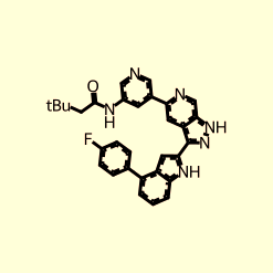 CC(C)(C)CC(=O)Nc1cncc(-c2cc3c(-c4cc5c(-c6ccc(F)cc6)cccc5[nH]4)n[nH]c3cn2)c1